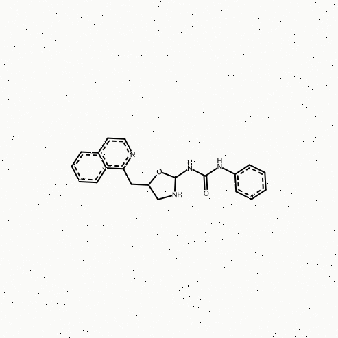 O=C(Nc1ccccc1)NC1NCC(Cc2nccc3ccccc23)O1